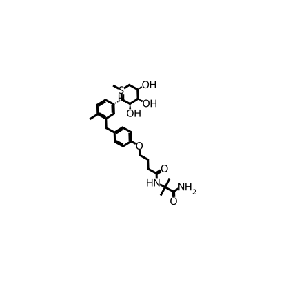 Cc1ccc([C@H]2[C@H](O)[C@H](O)[C@H](O)C[SH]2C)cc1Cc1ccc(OCCCC(=O)NC(C)(C)C(N)=O)cc1